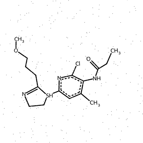 CCC(=O)Nc1c(C)cc([SH]2CCN=C2CCCOC)nc1Cl